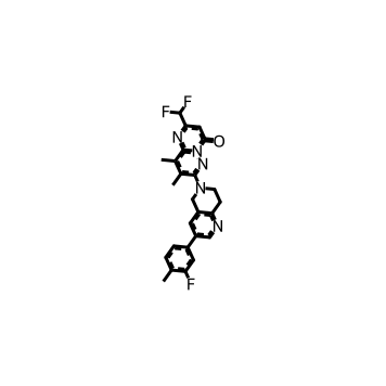 Cc1ccc(-c2cnc3c(c2)CN(c2nn4c(=O)cc(C(F)F)nc4c(C)c2C)CC3)cc1F